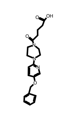 O=C(O)CCCC(=O)N1CCN(c2ccc(OCc3ccccc3)cn2)CC1